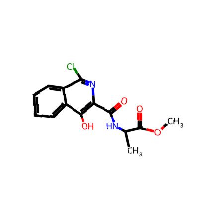 COC(=O)C(C)NC(=O)c1nc(Cl)c2ccccc2c1O